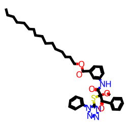 CCCCCCCCCCCCCCCCOC(=O)c1cccc(NC(=O)C(OC)(Sc2nnnn2-c2ccccc2)C(=O)c2ccccc2)c1